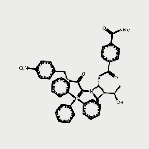 CNC(=O)c1ccc(C(=O)C[C@@H]2[C@@H]([C@@H](C)O)C(=O)N2C(C(=O)OCc2ccc([N+](=O)[O-])cc2)=P(c2ccccc2)(c2ccccc2)c2ccccc2)cc1